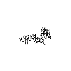 CC(C)(C)OC(=O)NC(=O)Oc1ncnc2c1ncn2Cc1c(Br)cc(Cl)cc1N1CC[C@](NC(=O)OC(C)(C)C)(c2nnn[nH]2)C1